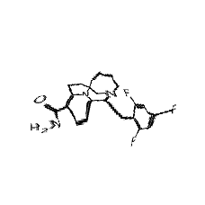 NC(=O)C1=C2CCC34CCCCN(C3)C(Cc3c(F)cc(F)cc3F)C(=CC1)N24